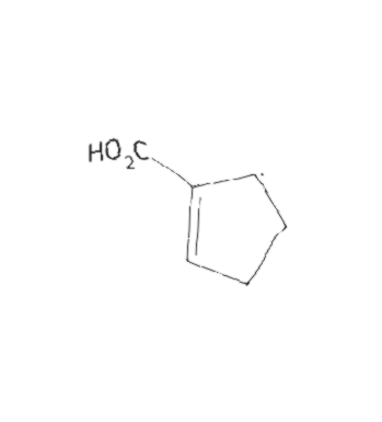 O=C(O)C1=CCC[CH]1